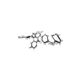 CC1CCC(C(=O)N(c2cc(C#CC(C)(C)C)sc2C(=O)O)N(C)[C@H]2CC[C@H](Oc3cccnc3)CC2)CC1